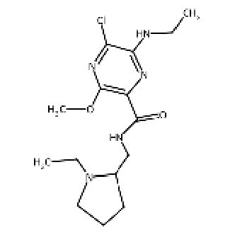 CCNc1nc(C(=O)NCC2CCCN2CC)c(OC)nc1Cl